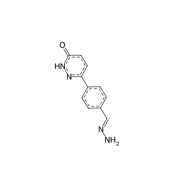 N/N=[C]/c1ccc(-c2ccc(=O)[nH]n2)cc1